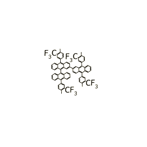 Cc1ccc(-c2c3ccccc3c(-c3ccc(C)c(C(F)(F)F)c3)c3cc(-c4ccc5c(-c6ccc(C)c(C(F)(F)F)c6)c6ccccc6c(-c6c7ccccc7c(-c7ccc(C)c(C(F)(F)F)c7)c7ccccc67)c5c4)ccc23)cc1C(F)(F)F